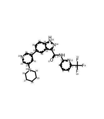 O=C(Nc1cccc(C(F)(F)F)n1)c1n[nH]c2ccc(-c3cncc(N4CCCCC4)c3)cc12